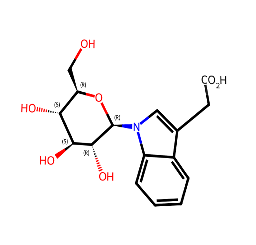 O=C(O)Cc1cn([C@@H]2O[C@H](CO)[C@@H](O)[C@H](O)[C@H]2O)c2ccccc12